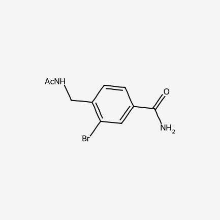 CC(=O)NCc1ccc(C(N)=O)cc1Br